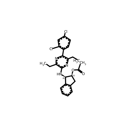 CCc1nc(-c2ccc(Cl)cc2Cl)c(CC)nc1N[C@@H]1c2ccccc2C[C@@H]1OC(C)=O